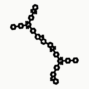 C1=CC2C(C=C1c1ccc3nc(-c4ccc(-c5cc(-c6ccc(-c7ccc8sc9ccccc9c8c7)cc6)nc(-c6ccc(-c7ccccc7)cc6)n5)cc4)sc3c1)SC1=CC(c3ccc(-c4cc(-c5ccc(-c6nc7ccccc7s6)cc5)nc(-c5ccc(-c6ccccc6)cc5)n4)cc3)=CCC12